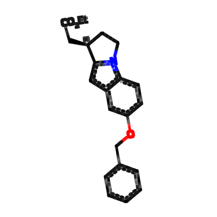 CCOC(=O)C[C@H]1CCn2c1cc1cc(OCc3ccccc3)ccc12